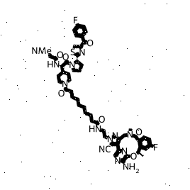 CNCC(=O)N[C@H](C(=O)N1CCC[C@H]1C1=NC(C(=O)c2ccc(F)cc2)CS1)C1CCN(C(=O)CCCCCCCCC(=O)NCCn2nc3c(c2C#N)-c2cnc(N)c(n2)O[C@H](C)c2cc(F)ccc2C(=O)N(C)C3)CC1